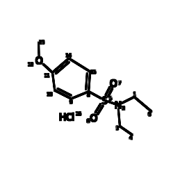 CCN(CC)S(=O)(=O)c1ccc(OC)cc1.Cl